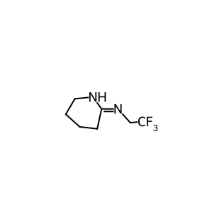 FC(F)(F)CN=C1CCCCN1